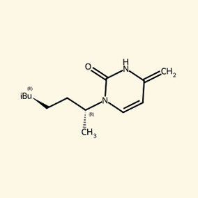 C=C1C=CN([C@H](C)CC[C@H](C)CC)C(=O)N1